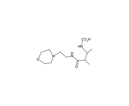 CC(NC(=O)O)C(C)C(=O)NCCN1CCOCC1